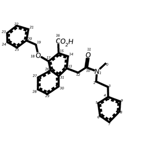 CN(CCc1ccccc1)C(=O)Cc1cc(C(=O)O)c(OCc2ccccc2)c2ccccc12